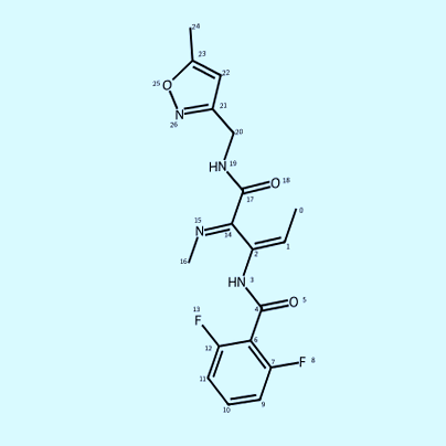 C/C=C(NC(=O)c1c(F)cccc1F)\C(=N/C)C(=O)NCc1cc(C)on1